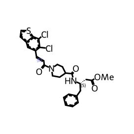 COC(=O)C[C@H](Cc1ccccc1)NC(=O)C1CCN(C(=O)/C=C/c2cc3ccsc3c(Cl)c2Cl)CC1